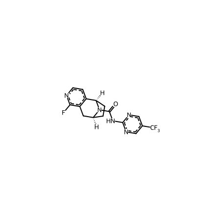 O=C(Nc1ncc(C(F)(F)F)cn1)N1[C@H]2CC[C@@H]1c1ccnc(F)c1C2